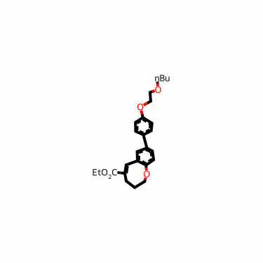 CCCCOCCOc1ccc(-c2ccc3c(c2)/C=C(/C(=O)OCC)CCCO3)cc1